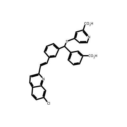 O=C(O)c1cccc(C(Sc2ccnc(C(=O)O)c2)c2cccc(C=Cc3ccc4ccc(Cl)cc4n3)c2)c1